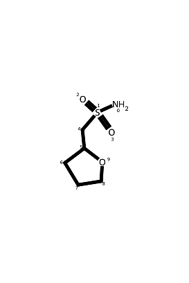 NS(=O)(=O)CC1CCCO1